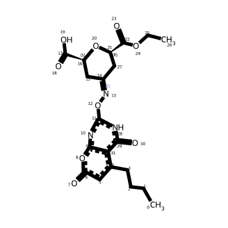 CCCCc1cc(=O)oc2nc(O/N=C3\C[C@@H](C(=O)O)O[C@@H](C(=O)OCC)C3)[nH]c(=O)c12